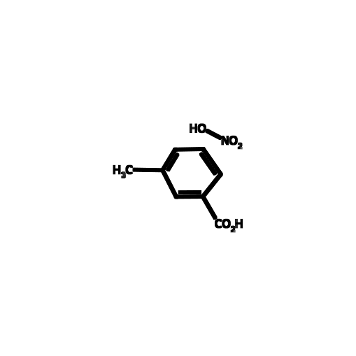 Cc1cccc(C(=O)O)c1.O=[N+]([O-])O